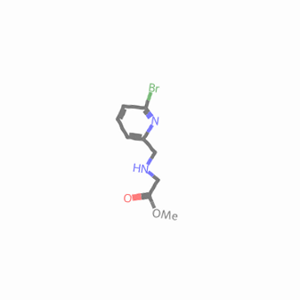 COC(=O)CNCc1cccc(Br)n1